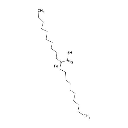 CCCCCCCCCCN(CCCCCCCCCC)C(=S)S.[Fe]